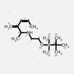 C=C(/C=C\C)C(C)NCCO[Si](C)(C)C(C)(C)C